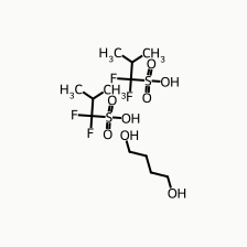 CC(C)C(F)(F)S(=O)(=O)O.CC(C)C(F)(F)S(=O)(=O)O.OCCCCO